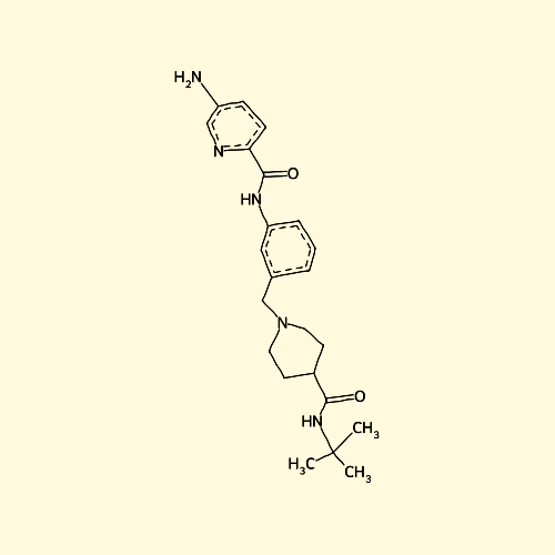 CC(C)(C)NC(=O)C1CCN(Cc2cccc(NC(=O)c3ccc(N)cn3)c2)CC1